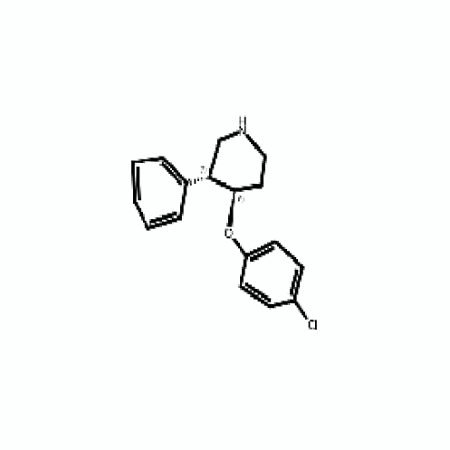 Clc1ccc(O[C@@H]2CCNC[C@H]2c2ccccc2)cc1